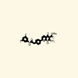 CCn1c(N)c(C(=O)NC)c(=O)c2ccc(-c3ccc(CC(=O)Nc4cc(F)cc(F)c4)cc3)nc21